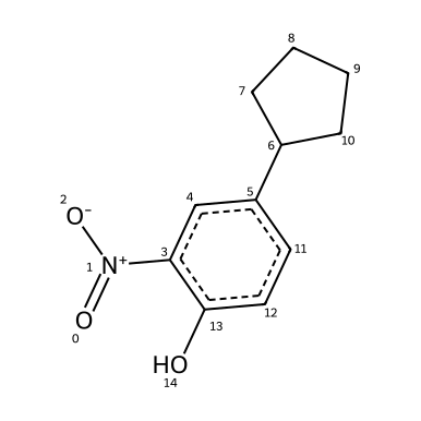 O=[N+]([O-])c1cc(C2CCCC2)ccc1O